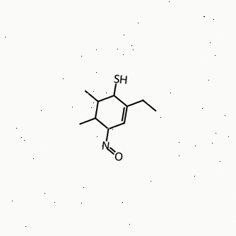 CCC1=CC(N=O)C(C)C(C)C1S